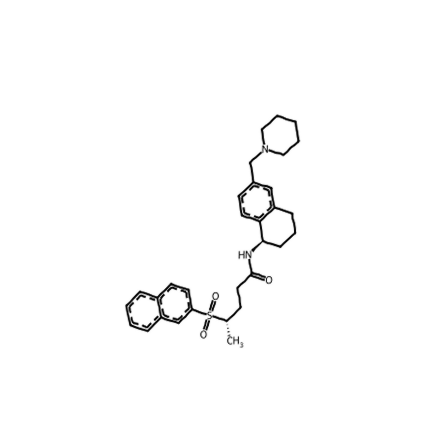 C[C@@H](CCC(=O)N[C@@H]1CCCc2cc(CN3CCCCC3)ccc21)S(=O)(=O)c1ccc2ccccc2c1